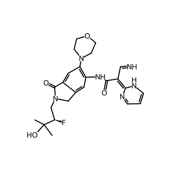 CC(C)(O)[C@H](F)CN1Cc2cc(NC(=O)/C(C=N)=C3\N=CC=CN3)c(N3CCOCC3)cc2C1=O